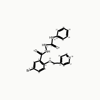 O=C(NNC(=O)c1cc(Br)ccc1OCc1ccncc1)Nc1ccccc1